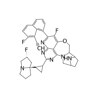 C#Cc1c(F)ccc2cccc(-c3nc4nc(C5CC5[C@@]56CCCN5C[C@H](F)C6)nc5c4c(c3F)OCC3C4CCC(CN53)N4)c12